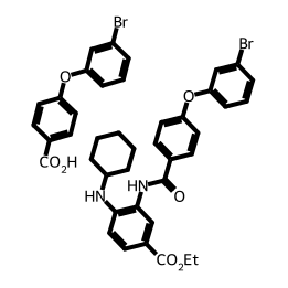 CCOC(=O)c1ccc(NC2CCCCC2)c(NC(=O)c2ccc(Oc3cccc(Br)c3)cc2)c1.O=C(O)c1ccc(Oc2cccc(Br)c2)cc1